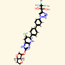 OC(O)(c1cn(-c2ccc(-c3ccc(-c4nc5nc(OC6CO[C@@H]7CCO[C@H]67)[nH]c5cc4Cl)cc3)cc2)nn1)C(F)(F)F